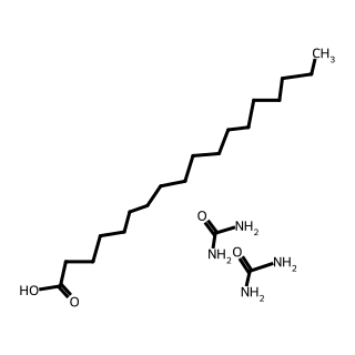 CCCCCCCCCCCCCCCCCC(=O)O.NC(N)=O.NC(N)=O